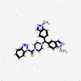 Cn1ncc2cc(C(c3ccc4c(cnn4C)c3)N3CCN(C(=O)n4nnc5ccccc54)CC3)ccc21